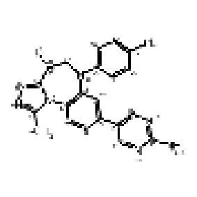 Cc1nnc2n1-c1ccc(-c3cnc(N)nc3)cc1N(c1ccc(Cl)cc1)C[C@H]2I